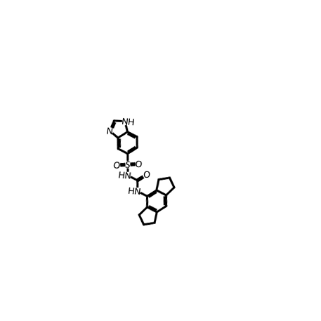 O=C(Nc1c2c(cc3c1CCC3)CCC2)NS(=O)(=O)c1ccc2[nH]cnc2c1